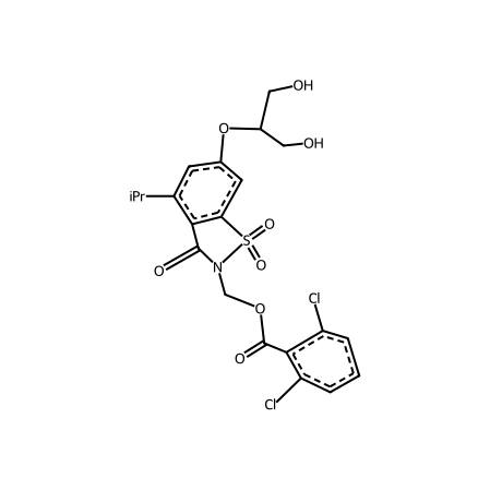 CC(C)c1cc(OC(CO)CO)cc2c1C(=O)N(COC(=O)c1c(Cl)cccc1Cl)S2(=O)=O